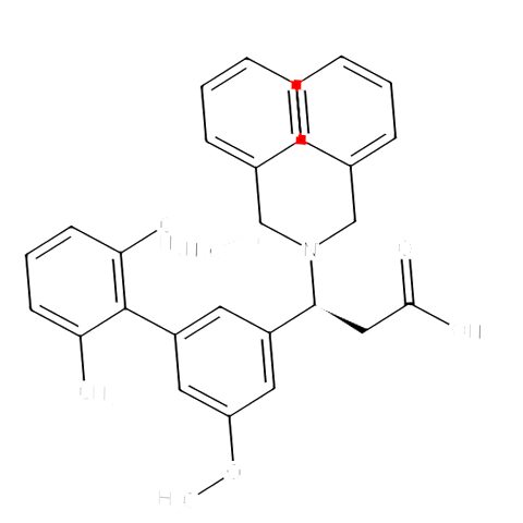 COc1cc(-c2c(C)cccc2C)cc([C@H](CC(=O)O)N(Cc2ccccc2)[C@H](C)c2ccccc2)c1